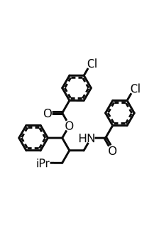 CC(C)CC(CNC(=O)c1ccc(Cl)cc1)C(OC(=O)c1ccc(Cl)cc1)c1ccccc1